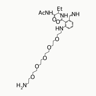 CCC(NC(=O)c1c(C=N)cccc1NCCOCCOCCOCCOCCOCCN)C(=O)NC(C)=O